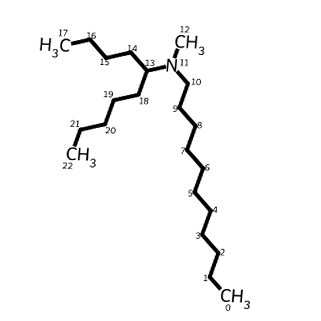 CCCCCCCCCCCN(C)C(CCCC)CCCCC